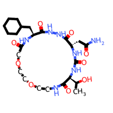 CC(O)[C@@H]1NC(=O)N[C@@H](CC(N)=O)C(=O)NNC(=O)[C@H](CC2CCCCC2)NC(=O)COCCOCCNC1=O